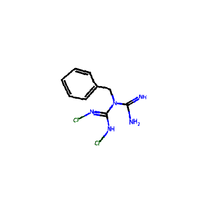 N=C(N)N(Cc1ccccc1)C(=NCl)NCl